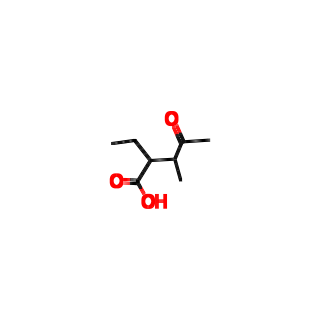 CCC(C(=O)O)C(C)C(C)=O